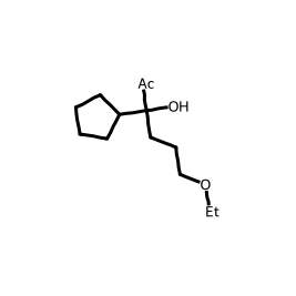 CCOCCCC(O)(C(C)=O)C1CCCC1